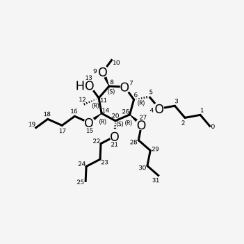 CCCCOC[C@H]1O[C@H](OC)[C@](C)(O)[C@H](OCCCC)[C@@H](OCCCC)[C@@H]1OCCCC